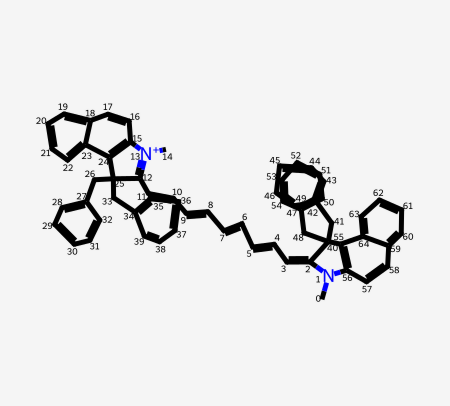 CN1/C(=C/C=C/C=C/C=C/C=C/C2=[N+](C)c3ccc4ccccc4c3C2(Cc2ccccc2)Cc2ccccc2)C(Cc2ccccc2)(Cc2ccccc2)c2c1ccc1ccccc21